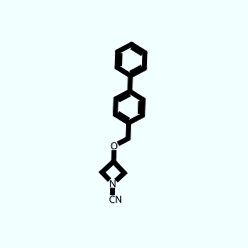 N#CN1CC(OCc2ccc(-c3ccccc3)cc2)C1